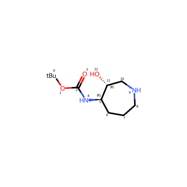 CC(C)(C)OC(=O)N[C@@H]1CCCNC[C@H]1O